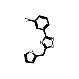 Clc1cccc(-c2noc(Cc3ccco3)n2)c1